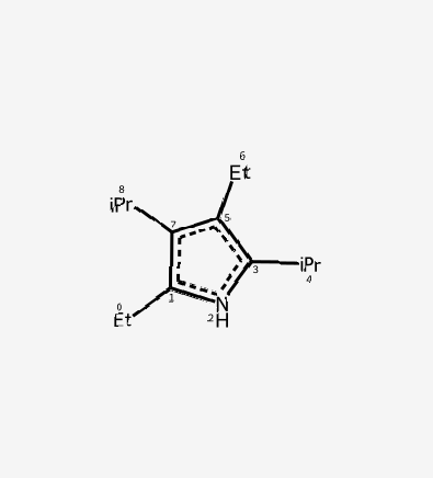 CCc1[nH]c(C(C)C)c(CC)c1C(C)C